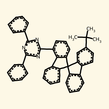 CC(C)(C)c1ccc2c(c1)C1(c3ccccc3-2)c2ccccc2-c2c(-c3nc(-c4ccccc4)nc(-c4ccccc4)n3)cccc21